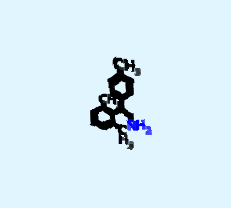 Cc1ccc(C(CN)c2c(C)cccc2C)cc1